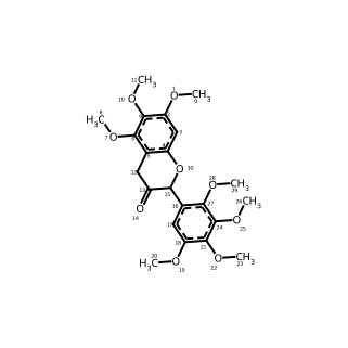 COc1cc2c(c(OC)c1OC)CC(=O)C(c1cc(OC)c(OC)c(OC)c1OC)O2